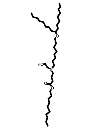 CCCCCCCCCCOC(=O)CCCN(CCO)CCCCCCCCOC(CCCCCCCC)CCCCCCCC